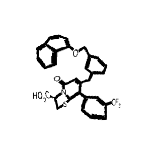 O=C(O)[C@@H]1CSc2c(-c3cccc(C(F)(F)F)c3)c(Cc3cccc(COc4cccc5ccccc45)c3)cc(=O)n21